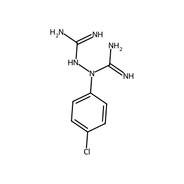 N=C(N)NN(C(=N)N)c1ccc(Cl)cc1